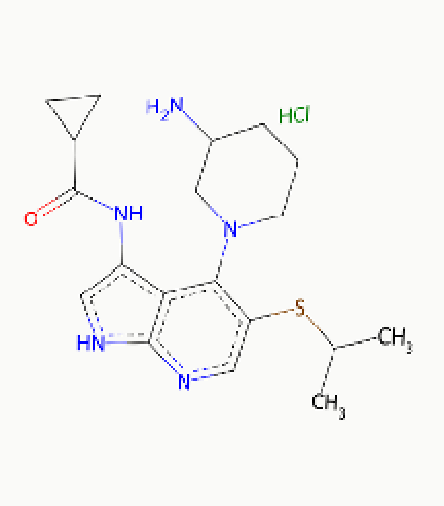 CC(C)Sc1cnc2[nH]cc(NC(=O)C3CC3)c2c1N1CCCC(N)C1.Cl